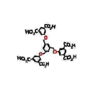 O=C(O)c1cc(OCc2cc(COc3cc(C(=O)O)cc(C(=O)O)c3)cc(COc3cc(C(=O)O)cc(C(=O)O)c3)c2)cc(C(=O)O)c1